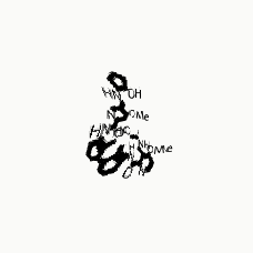 COc1cc(C(=O)Nc2cccc(-c3cccc(NC(=O)c4nccc(OC)c4CN[C@@H](C)CO)c3C)c2C)ncc1CN[C@H]1CCC[C@@H]1O